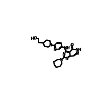 O=c1[nH]ncc2nc(N3CCCCCC3)nc(Nc3ccc(N4CCC(CCO)CC4)nc3)c12